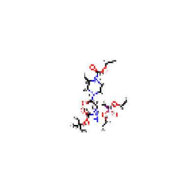 CCOC(=O)N1CCN(C(=O)[C@H](CP(=O)(OCC)OCC)NC(=O)OC(C)(C)C)CC1C